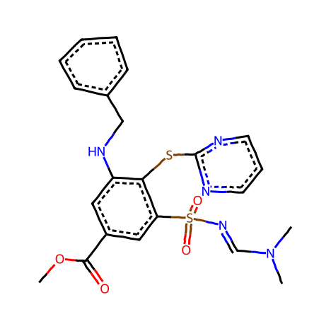 COC(=O)c1cc(NCc2ccccc2)c(Sc2ncccn2)c(S(=O)(=O)N=CN(C)C)c1